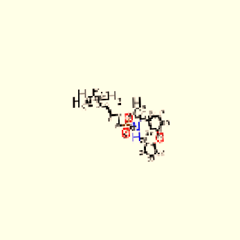 C[C@@H](NS(=O)(=O)CC/C=C/CC(C)(C)C)c1cccc(OC2CCCC2)c1